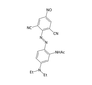 CCN(CC)c1ccc(/N=N/c2c(C#N)cc(N=O)cc2C#N)c(NC(C)=O)c1